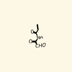 C=CC(=O)NC(=O)C=O